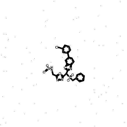 O=[SH](=O)NCc1nnc(C(c2nc3ccc(-c4cccc(Cl)c4)cc3s2)S(=O)(=O)Cc2ccccc2)o1